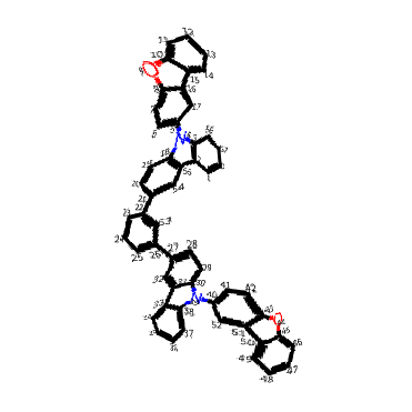 C1=Cc2c(n(-c3ccc4oc5ccccc5c4c3)c3ccc(-c4cccc(-c5ccc6c(c5)c5ccccc5n6-c5ccc6oc7ccccc7c6c5)c4)cc23)CC1